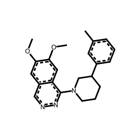 COc1cc2cnnc(N3CCCC(c4cccc(C)c4)C3)c2cc1OC